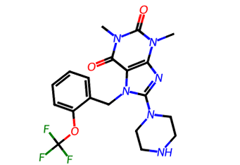 Cn1c(=O)c2c(nc(N3CCNCC3)n2Cc2ccccc2OC(F)(F)F)n(C)c1=O